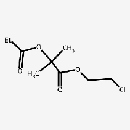 [CH2]CC(=O)OC(C)(C)C(=O)OCCCl